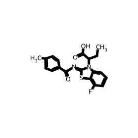 CCC(C(=O)O)n1/c(=N/C(=O)c2ccc(C)cc2)sc2c(F)cccc21